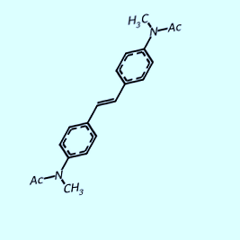 CC(=O)N(C)c1ccc(C=Cc2ccc(N(C)C(C)=O)cc2)cc1